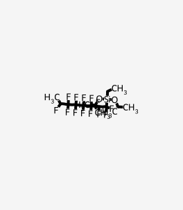 CC[Si](OC(C)C)(OC(C)C)C(F)(F)C(F)(F)C(F)(F)C(F)(F)C(F)(F)C(F)(F)C(C)F